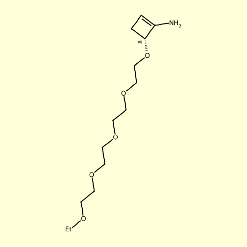 CCOCCOCCOCCOCCO[C@@H]1CC=C1N